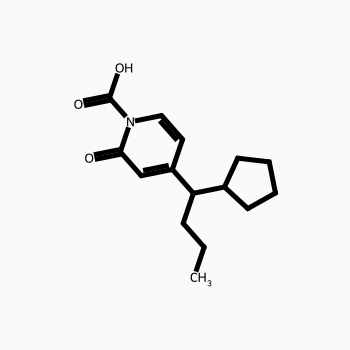 CCCC(c1ccn(C(=O)O)c(=O)c1)C1CCCC1